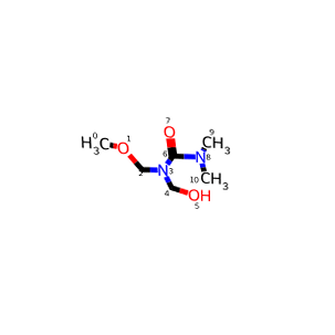 COCN(CO)C(=O)N(C)C